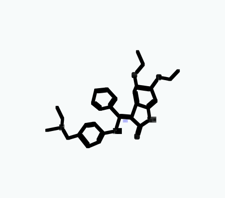 CCOc1cc2c(cc1OCC)/C(=C(/Nc1ccc(CN(C)CC)cc1)c1ccccc1)C(=O)N2